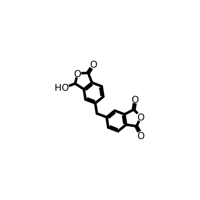 O=C1OC(=O)c2cc(Cc3ccc4c(c3)C(O)OC4=O)ccc21